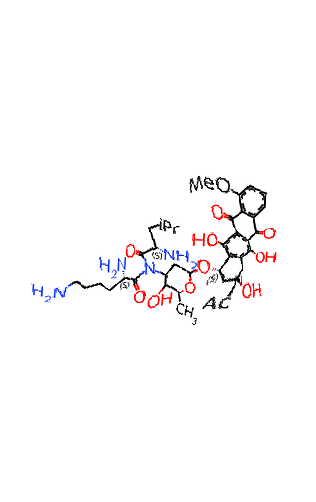 COc1cccc2c1C(=O)c1c(O)c3c(c(O)c1C2=O)C[C@@](O)(C(C)=O)C[C@@H]3OC1CC(N(C(=O)[C@@H](N)CCCCN)C(=O)[C@@H](N)CC(C)C)C(O)C(C)O1